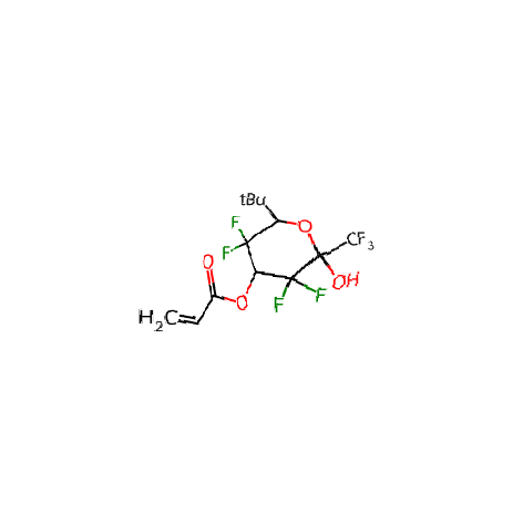 C=CC(=O)OC1C(F)(F)C(C(C)(C)C)OC(O)(C(F)(F)F)C1(F)F